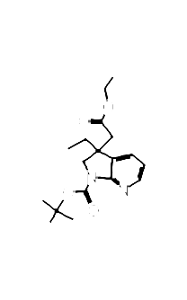 CCOC(=O)CC1(CC)CN(C(=O)OC(C)(C)C)c2ncccc21